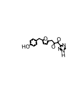 O=C(Cc1ccc(Cc2ccc(O)cc2)o1)C(=O)c1nc[nH]n1